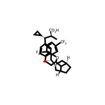 C[C@H](C(=O)O)[C@H](c1ccc2c(c1)OC(C1[C@@H]3CC[C@@H]1CN([C@H](C)c1cc(C(F)(F)F)ccc1C(F)(F)F)C3)CC2)C1CC1